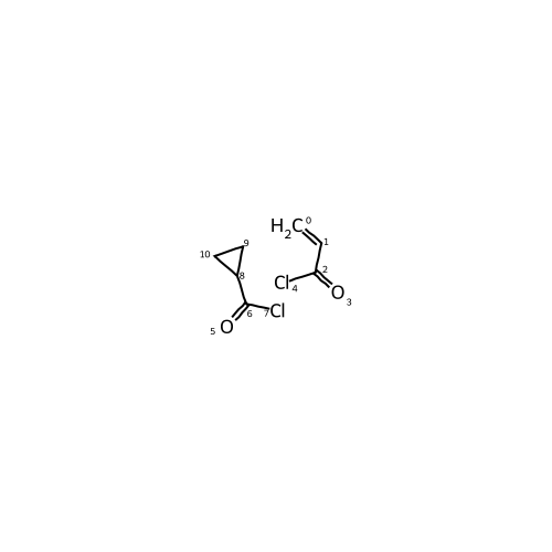 C=CC(=O)Cl.O=C(Cl)C1CC1